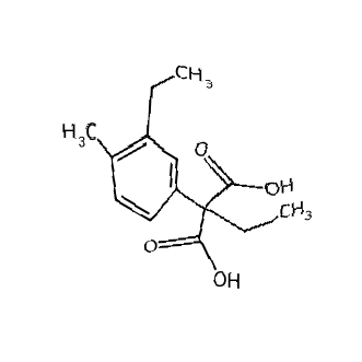 CCc1cc(C(CC)(C(=O)O)C(=O)O)ccc1C